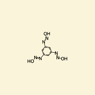 ON=Nc1cc(N=NO)cc(N=NO)c1